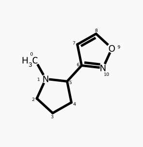 CN1CCCC1c1ccon1